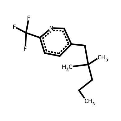 CCCC(C)(C)Cc1ccc(C(F)(F)F)nc1